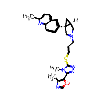 Cc1ccc2cc([C@]34C[C@H]3CN(CCCSc3nnc(-c5ocnc5C)n3C)C4)ccc2n1